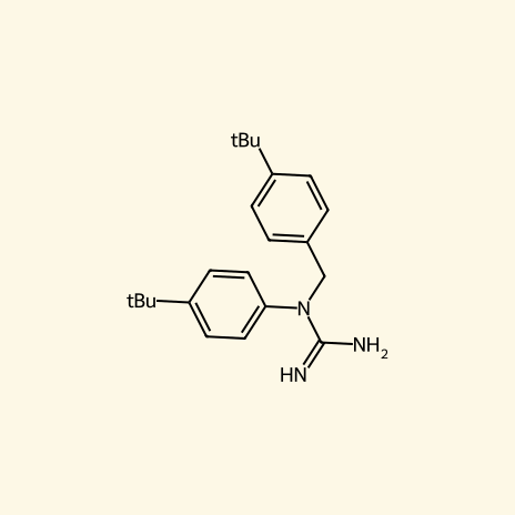 CC(C)(C)c1ccc(CN(C(=N)N)c2ccc(C(C)(C)C)cc2)cc1